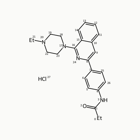 CCC(=O)Nc1ccc(-c2cc3ccccc3c(N3CCN(CC)CC3)n2)cc1.Cl